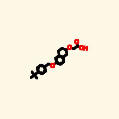 CC(C)(C)c1ccc(COc2ccc3c(c2)CCC(OCC(=O)O)C3)cc1